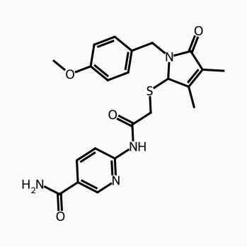 COc1ccc(CN2C(=O)C(C)=C(C)C2SCC(=O)Nc2ccc(C(N)=O)cn2)cc1